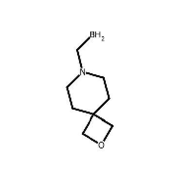 BCN1CCC2(CC1)COC2